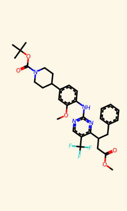 COC(=O)CC(Cc1ccccc1)c1nc(Nc2ccc(C3CCN(C(=O)OC(C)(C)C)CC3)cc2OC)ncc1C(F)(F)F